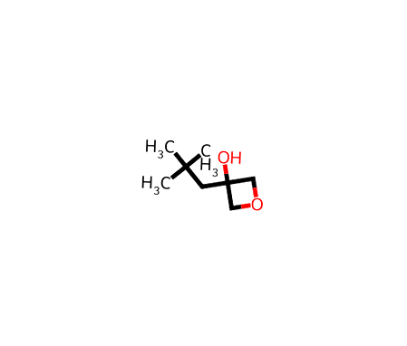 CC(C)(C)CC1(O)COC1